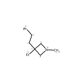 CCC1(CCC(C)C)CN(C)C1